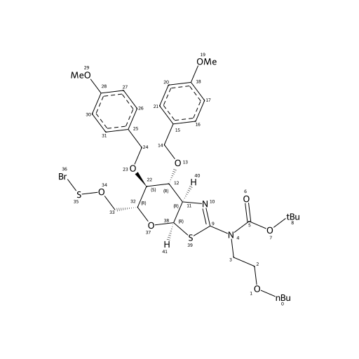 CCCCOCCN(C(=O)OC(C)(C)C)C1=N[C@@H]2[C@@H](OCc3ccc(OC)cc3)[C@H](OCc3ccc(OC)cc3)[C@@H](COSBr)O[C@@H]2S1